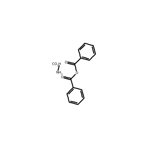 NC(=O)O.O=C(OC(=O)c1ccccc1)c1ccccc1